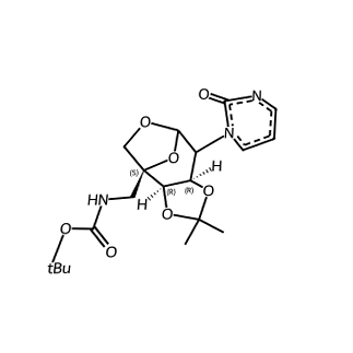 CC(C)(C)OC(=O)NC[C@@]12COC(O1)C(n1cccnc1=O)[C@H]1OC(C)(C)O[C@H]12